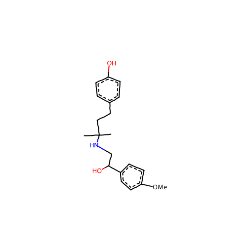 COc1ccc(C(O)CNC(C)(C)CCc2ccc(O)cc2)cc1